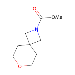 COC(=O)N1CC2(CCOCC2)C1